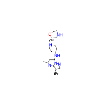 Cc1cc(NC2CCN(C[C@@H]3CNCCO3)CC2)n2ncc(C(C)C)c2n1